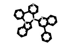 c1ccc(-c2cc(N3c4ccncc4-c4ccccc4-n4c3cc3ccccc34)nc3ccccc23)cc1